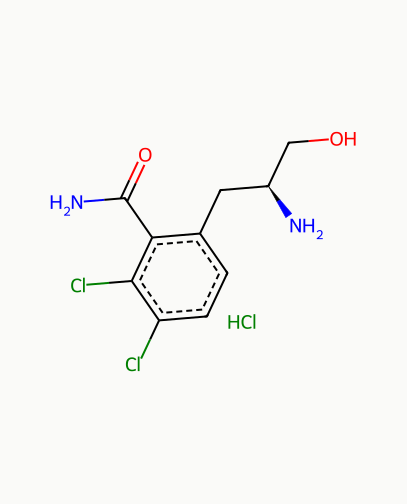 Cl.NC(=O)c1c(C[C@H](N)CO)ccc(Cl)c1Cl